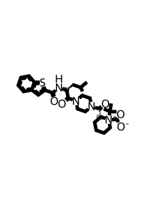 CC(C)C[C@H](NC(=O)c1cc2ccccc2s1)C(=O)N1CCN(C(=O)[C@H]2CCCC[N+]2(C(=O)[O-])C(C)(C)C)CC1